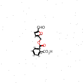 O=Cc1ccc(COC(=O)c2ccccc2C(=O)O)o1